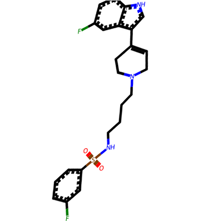 O=S(=O)(NCCCCN1CC=C(c2c[nH]c3ccc(F)cc23)CC1)c1cccc(F)c1